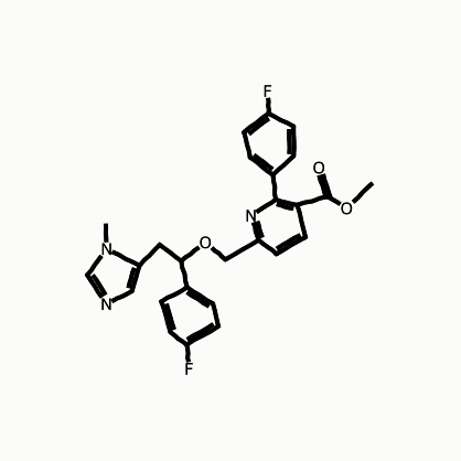 COC(=O)c1ccc(COC(Cc2cncn2C)c2ccc(F)cc2)nc1-c1ccc(F)cc1